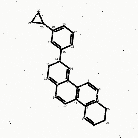 C1=Cc2c(ccc3c4c(ccc23)=CCC(c2cccc(C3CC3)c2)C=4)CC1